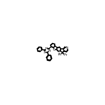 CC(C)C1(C(C)C)c2ccncc2-c2cc3c(cc21)oc1c(-c2nc(-c4ccccc4)nc(-c4ccccc4)n2)cccc13